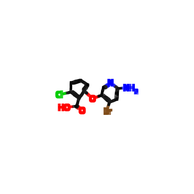 Nc1cc(Br)c(Oc2cccc(Cl)c2C(=O)O)cn1